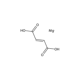 O=C(O)C=CC(=O)O.[Mg]